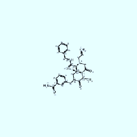 C=CCN1CC(=O)N2[C@@H](C)C(=O)N(Cc3cccc(C(N)=O)c3)C[C@@H]2N1C(=O)NCc1ccccc1